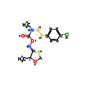 CC1OCSC1=NOC(=O)N(C)SSc1ccc(Cl)cc1